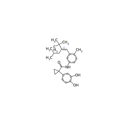 Cc1ccc(NC(=O)C2(c3ccc(O)c(O)c3)CC2)cc1/C=C(\CC(C)C)C(C)(C)C